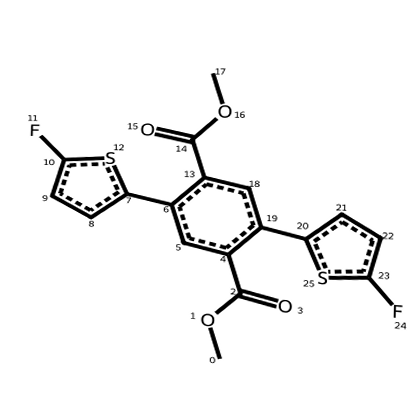 COC(=O)c1cc(-c2ccc(F)s2)c(C(=O)OC)cc1-c1ccc(F)s1